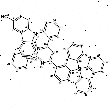 N#Cc1ccc2c(c1)c1ccccc1n2-c1ccccc1-c1nc(-c2ccccc2)nc(-c2cccc([Si](c3ccccc3)(c3ccccc3)c3ccccc3)c2)n1